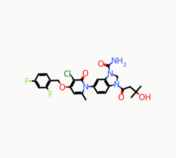 Cc1cc(OCc2ccc(F)cc2F)c(Cl)c(=O)n1-c1ccc2c(c1)N(C(N)=O)CN2C(=O)CC(C)(C)O